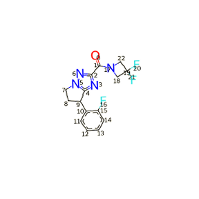 O=C(c1nc2n(n1)CCC2c1ccccc1F)N1CC(F)(F)C1